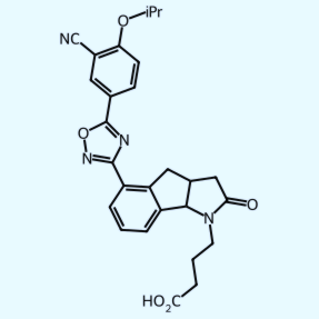 CC(C)Oc1ccc(-c2nc(-c3cccc4c3CC3CC(=O)N(CCCC(=O)O)C43)no2)cc1C#N